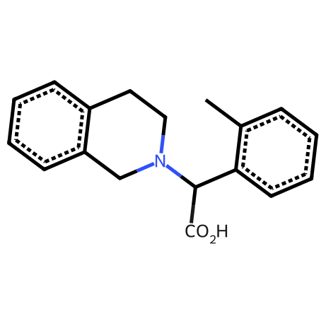 Cc1ccccc1C(C(=O)O)N1CCc2ccccc2C1